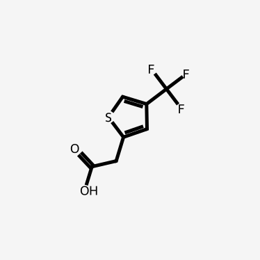 O=C(O)Cc1cc(C(F)(F)F)cs1